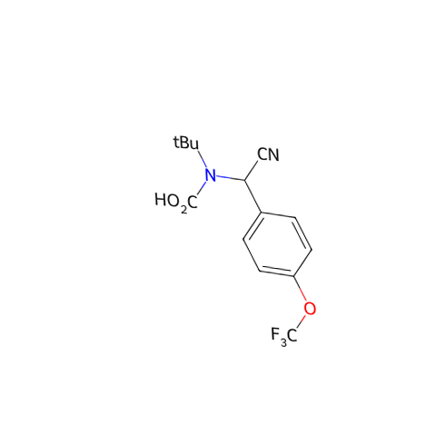 CC(C)(C)N(C(=O)O)C(C#N)c1ccc(OC(F)(F)F)cc1